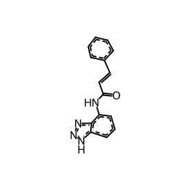 O=C(/C=C/c1ccccc1)Nc1cccc2[nH]nnc12